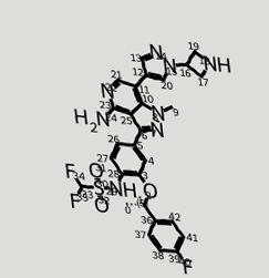 C[C@H](Oc1cc(-c2nn(C)c3c(-c4cnn(C5CNC5)c4)cnc(N)c23)ccc1NS(=O)(=O)C(F)F)c1ccc(F)cc1